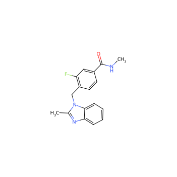 CNC(=O)c1ccc(Cn2c(C)nc3ccccc32)c(F)c1